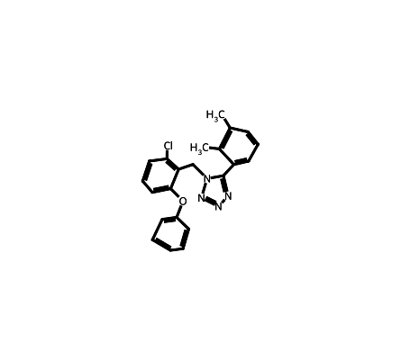 Cc1cccc(-c2nnnn2Cc2c(Cl)cccc2Oc2ccccc2)c1C